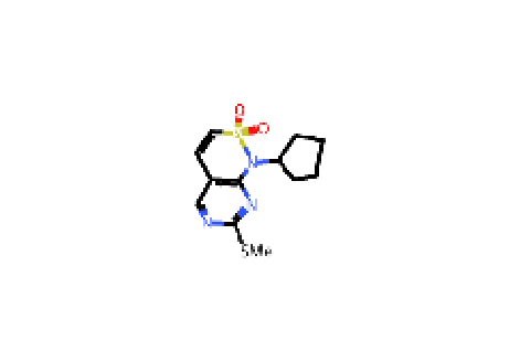 CSc1ncc2c(n1)N(C1CCCC1)S(=O)(=O)C=C2